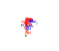 CC(C)(COP(=O)(O)OP(=O)(O)OCC1OC(C)(n2cnc3c(N)ncnc32)C(O)C1OP(=O)(O)O)C(O)C(=O)NCCC(=O)NCCSC(=O)CC(O)CSCc1ccccc1